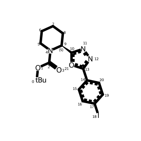 CC(C)(C)OC(=O)N1CCCC[C@H]1c1nnc(-c2ccc(I)cc2)o1